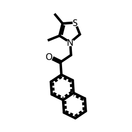 CC1=C(C)N(CC(=O)c2ccc3ccccc3c2)CS1